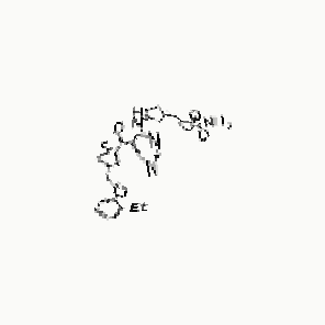 CCc1ccccc1OCc1csc(C(=O)c2cncnc2N[C@H]2CC[C@@H](COS(N)(=O)=O)C2)c1